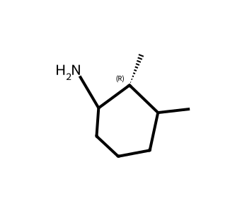 CC1CCCC(N)[C@@H]1C